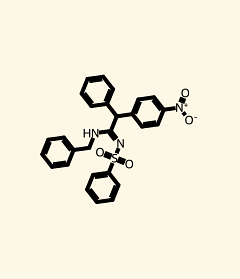 O=[N+]([O-])c1ccc(C(C(=NS(=O)(=O)c2ccccc2)NCc2ccccc2)c2ccccc2)cc1